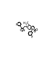 CC1CC2(C=CS(=O)(=O)N2c2cccc(F)c2)CCN1Cc1ncoc1-c1cccnc1